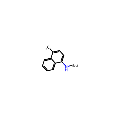 CCC(C)Nc1ccc(C)c2ccccc12